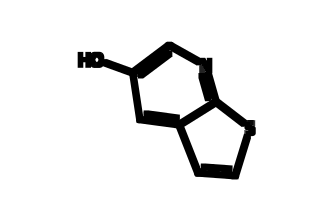 Oc1cnc2sccc2c1